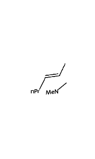 CC=CCCC.CNC